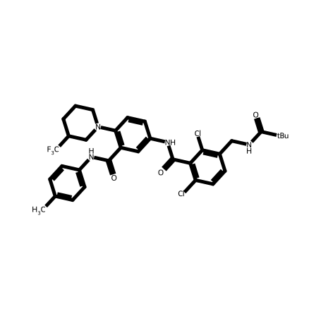 Cc1ccc(NC(=O)c2cc(NC(=O)c3c(Cl)ccc(CNC(=O)C(C)(C)C)c3Cl)ccc2N2CCCC(C(F)(F)F)C2)cc1